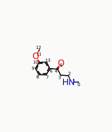 CNCCC(=O)c1cccc(OC)c1